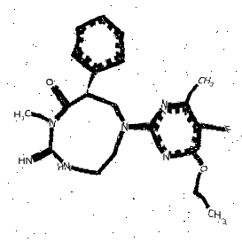 CCOc1nc(N2CCNC(=N)N(C)C(=O)[C@@H](c3ccccc3)C2)nc(C)c1F